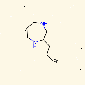 CC(C)CCC1CNCCCN1